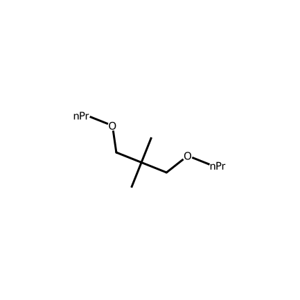 CCCOCC(C)(C)COCCC